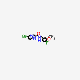 O=C(NCc1ccc(F)c(OC(F)(F)F)c1)c1cn2cc(Br)ccc2n1